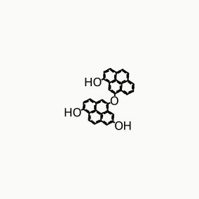 Oc1cc2ccc3c(O)ccc4cc(Oc5cc6c(O)ccc7ccc8cccc5c8c76)c(c1)c2c43